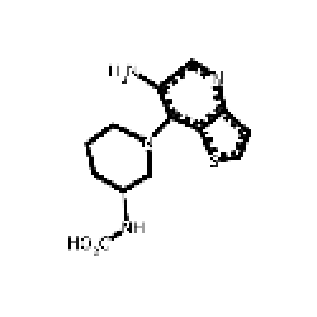 Nc1cnc2ccsc2c1N1CCC[C@H](NC(=O)O)C1